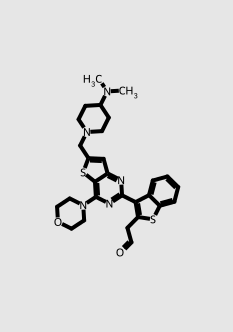 CN(C)C1CCN(Cc2cc3nc(-c4c(CC=O)sc5ccccc45)nc(N4CCOCC4)c3s2)CC1